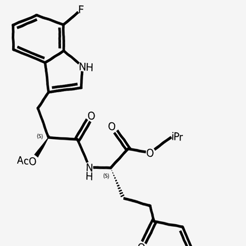 CC(=O)O[C@@H](Cc1c[nH]c2c(F)cccc12)C(=O)N[C@@H](CCC(=O)C=N)C(=O)OC(C)C